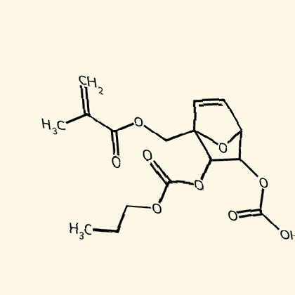 C=C(C)C(=O)OCC12C=CC(O1)C(OC(=O)O)C2OC(=O)OCCC